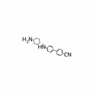 N#Cc1ccc(-c2ccc(NC[C@H]3CC[C@H](N)CC3)cc2)cc1